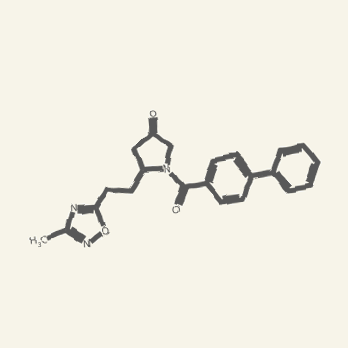 Cc1noc(CCC2CC(=O)CN2C(=O)c2ccc(-c3ccccc3)cc2)n1